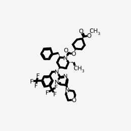 CC[C@@H]1C[C@H](N(Cc2cc(C(F)(F)F)cc(C(F)(F)F)c2)c2ncc(N3CCOCC3)cn2)C[C@H](Cc2ccccc2)N1C(=O)O[C@H]1CC[C@H](C(=O)OC)CC1